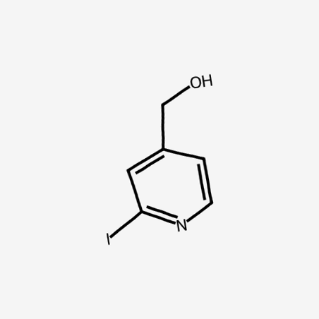 OCc1ccnc(I)c1